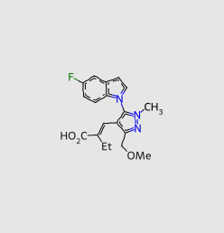 CC/C(=C\c1c(COC)nn(C)c1-n1ccc2cc(F)ccc21)C(=O)O